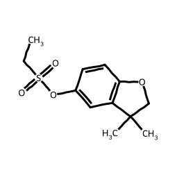 CCS(=O)(=O)Oc1ccc2c(c1)C(C)(C)CO2